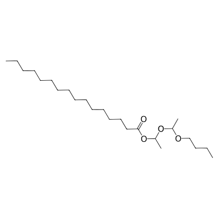 CCCCCCCCCCCCCCCC(=O)OC(C)OC(C)OCCCC